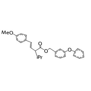 COc1ccc(/C=C/C(C(=O)OCc2cccc(Oc3ccccc3)c2)C(C)C)cc1